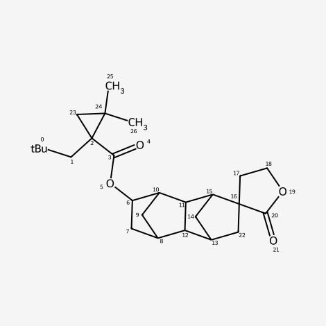 CC(C)(C)CC1(C(=O)OC2CC3CC2C2C3C3CC2C2(CCOC2=O)C3)CC1(C)C